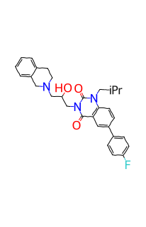 CC(C)Cn1c(=O)n(CC(O)CN2CCc3ccccc3C2)c(=O)c2cc(-c3ccc(F)cc3)ccc21